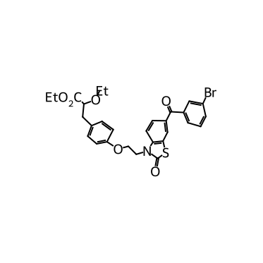 CCOC(=O)C(Cc1ccc(OCCn2c(=O)sc3cc(C(=O)c4cccc(Br)c4)ccc32)cc1)OCC